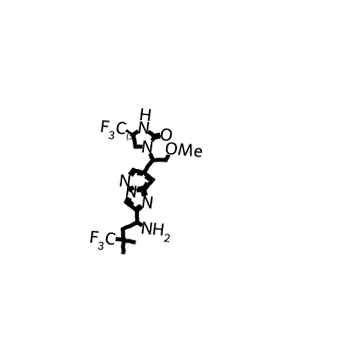 COCC(c1cnn2cc(C(N)CC(C)(C)C(F)(F)F)nc2c1)N1C[C@@H](C(F)(F)F)NC1=O